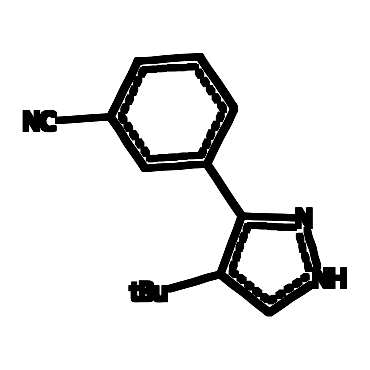 CC(C)(C)c1c[nH]nc1-c1cccc(C#N)c1